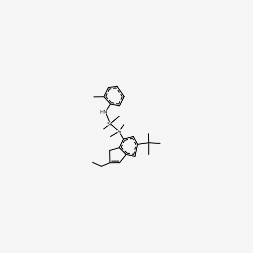 CCC1=Cc2cc(C(C)(C)C)cc([Si](C)(C)[Si](C)(C)Nc3ccccc3C)c2C1